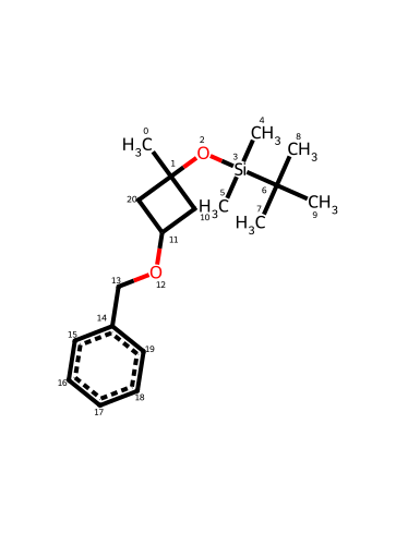 CC1(O[Si](C)(C)C(C)(C)C)CC(OCc2ccccc2)C1